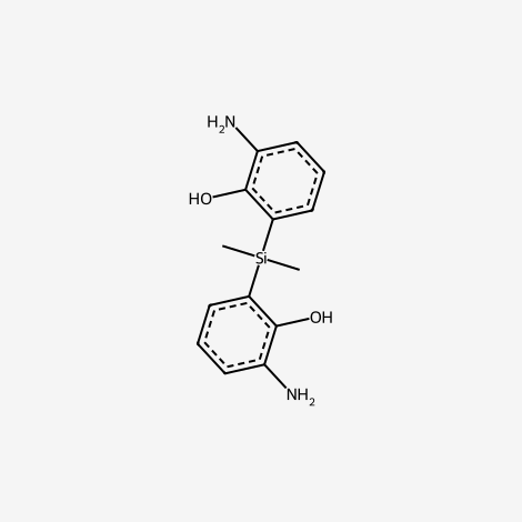 C[Si](C)(c1cccc(N)c1O)c1cccc(N)c1O